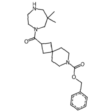 CC1(C)CNCCN(C(=O)C2CC3(CCN(C(=O)OCc4ccccc4)CC3)C2)C1